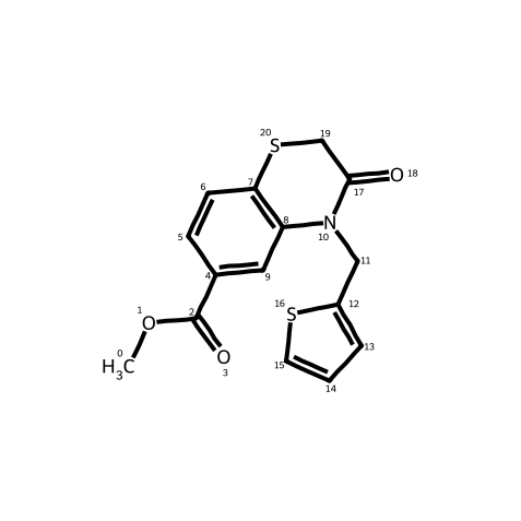 COC(=O)c1ccc2c(c1)N(Cc1cccs1)C(=O)CS2